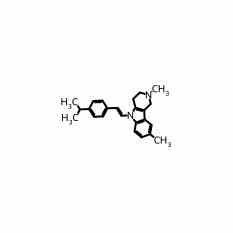 Cc1ccc2c(c1)c1c(n2C=Cc2ccc(C(C)C)cc2)CCN(C)C1